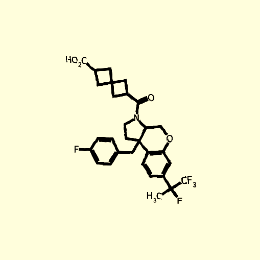 CC(F)(c1ccc2c(c1)OCC1N(C(=O)C3CC4(CC(C(=O)O)C4)C3)CCC21Cc1ccc(F)cc1)C(F)(F)F